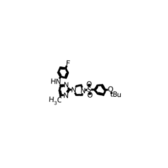 Cc1cc(Nc2ccc(F)cc2)nc(N2CCN(S(=O)(=O)c3ccc(OC(C)(C)C)cc3)CC2)n1